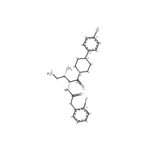 CC[C@H](C)[C@@H](NC(=O)Cc1ccccc1F)C(=O)N1CCC(c2ccc(Cl)cc2)CC1